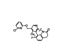 Cc1c(COc2cccc(Cl)n2)cncc1-c1c(F)ccc2c1N(C)C(=O)CC2